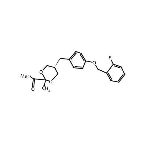 COC(=O)[C@]1(C)OC[C@H](Cc2ccc(OCc3ccccc3F)cc2)CO1